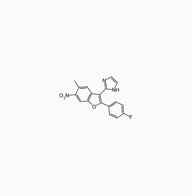 Cc1cc2c(-c3ncc[nH]3)c(-c3ccc(F)cc3)oc2cc1[N+](=O)[O-]